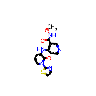 CONC(=O)c1cnccc1Nc1cccn(-c2nccs2)c1=O